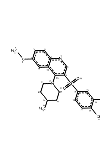 COc1ccc2ncc(S(=O)(=O)c3ccc(C)c(C)c3)c(N3CCC(C)CC3)c2c1